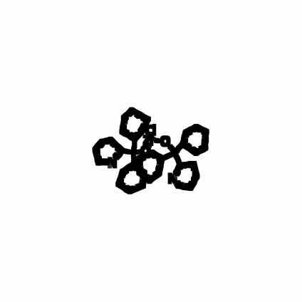 [Cl][Zr]([O]C(c1ccccc1)(c1ccccc1)c1ccccn1)[O]C(c1ccccc1)(c1ccccc1)c1ccccn1